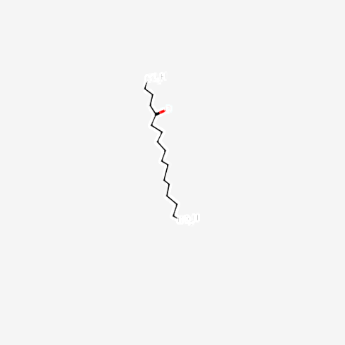 O=C(O)CCCCCCCCCCCC(=O)CCCC(=O)O